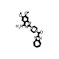 COc1cc2nc(N3CCN(C(=O)c4nc5cccccc-5n4)CC3)nc(N)c2cc1OC